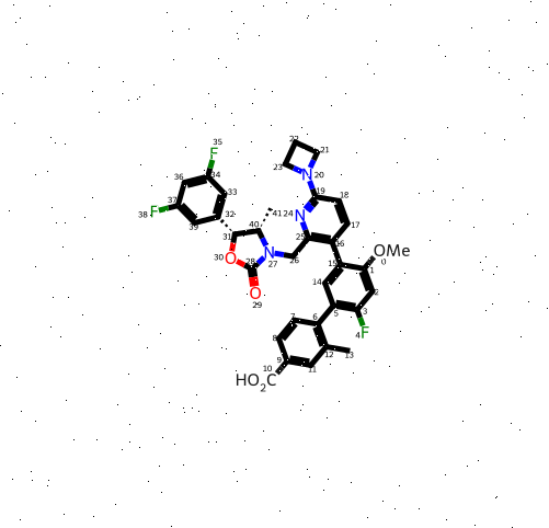 COc1cc(F)c(-c2ccc(C(=O)O)cc2C)cc1-c1ccc(N2CCC2)nc1CN1C(=O)O[C@H](c2cc(F)cc(F)c2)[C@@H]1C